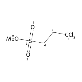 [CH2]OS(=O)(=O)CCC(Cl)(Cl)Cl